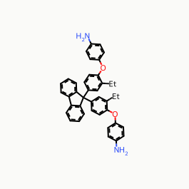 CCc1cc(C2(c3ccc(Oc4ccc(N)cc4)c(CC)c3)c3ccccc3-c3ccccc32)ccc1Oc1ccc(N)cc1